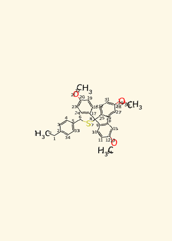 CCc1ccc(CSC(c2ccc(OC)cc2)(c2ccc(OC)cc2)c2ccc(OC)cc2)cc1